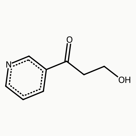 O=C(CCO)c1cccnc1